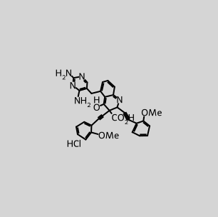 COc1ccccc1C#CC1N=c2cccc(Cc3cnc(N)nc3N)c2=C(O)C1(C#Cc1ccccc1OC)C(=O)O.Cl